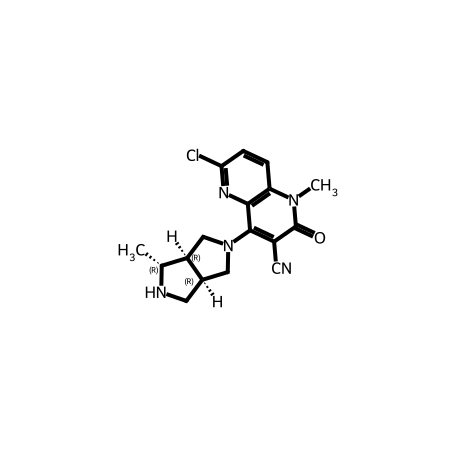 C[C@H]1NC[C@@H]2CN(c3c(C#N)c(=O)n(C)c4ccc(Cl)nc34)C[C@@H]21